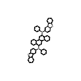 C1=CC2Sc3ccccc3C2C=C1N(c1ccccc1)c1cc2c3ccccc3c(N(c3ccccc3)c3ccc4sc5ccccc5c4c3)cc2c2ccccc12